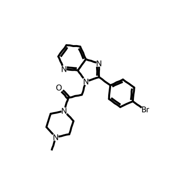 CN1CCN(C(=O)Cn2c(-c3ccc(Br)cc3)nc3cccnc32)CC1